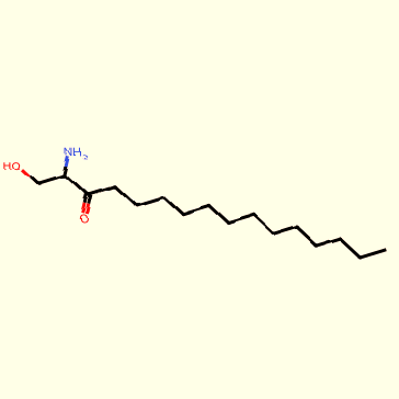 CCCCCCCCCCCCCC(=O)C(N)CO